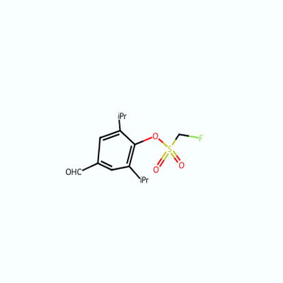 CC(C)c1cc(C=O)cc(C(C)C)c1OS(=O)(=O)CF